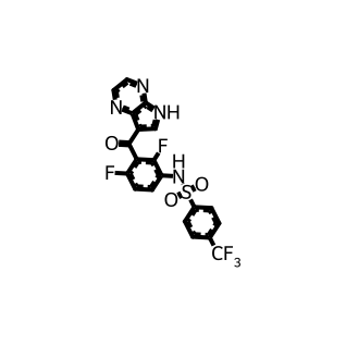 O=C(c1c(F)ccc(NS(=O)(=O)c2ccc(C(F)(F)F)cc2)c1F)c1c[nH]c2nccnc12